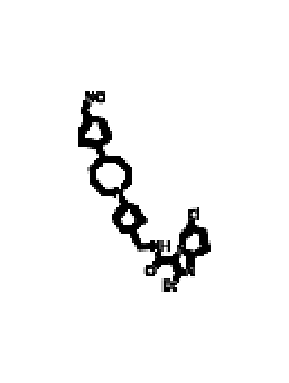 CCc1nc2ccc(Cl)cn2c1C(=O)NCc1ccc(N2CCCC(c3ccc(CN=O)cc3)CCC2)cc1